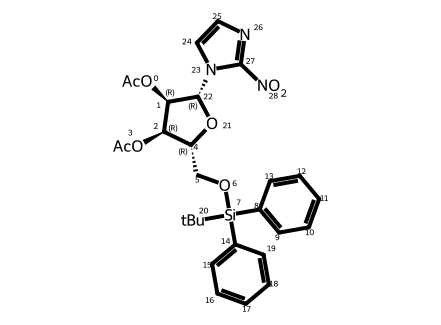 CC(=O)O[C@@H]1[C@H](OC(C)=O)[C@@H](CO[Si](c2ccccc2)(c2ccccc2)C(C)(C)C)O[C@H]1n1ccnc1[N+](=O)[O-]